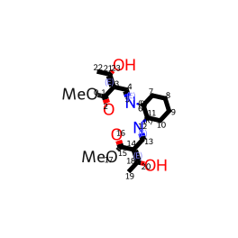 COC(=O)C(/C=N/[C@@H]1CCCC[C@H]1/N=C/C(C(=O)OC)=C(/C)O)=C(\C)O